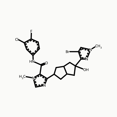 Cn1cc(Br)c(C2(O)CC3CC(c4ncn(C)c4C(=O)Nc4ccc(F)c(Cl)c4)CC3C2)n1